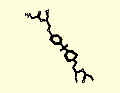 CCC(=O)OC(CF)COc1ccc(C(C)(C)c2ccc(OCC(CCl)OC(=O)CN)cc2)cc1